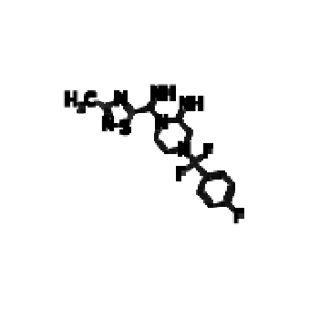 Cc1nsc(C(=N)N2CCN(C(F)(F)c3ccc(F)cc3)CC2=N)n1